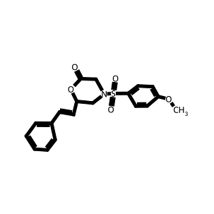 COc1ccc(S(=O)(=O)N2CC(=O)OC(C=Cc3ccccc3)C2)cc1